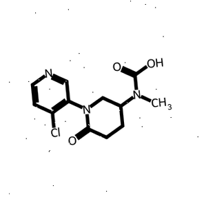 CN(C(=O)O)C1CCC(=O)N(c2cnccc2Cl)C1